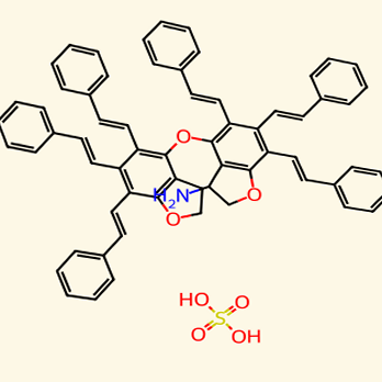 NC1COc2c(C=Cc3ccccc3)c(C=Cc3ccccc3)c(C=Cc3ccccc3)c(Oc3c(C=Cc4ccccc4)c(C=Cc4ccccc4)c(C=Cc4ccccc4)c4c3CCO4)c21.O=S(=O)(O)O